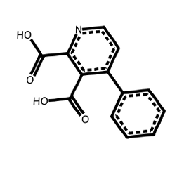 O=C(O)c1nccc(-c2ccccc2)c1C(=O)O